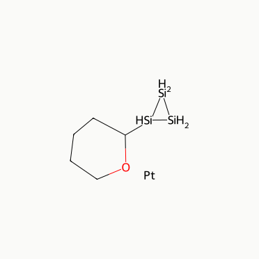 C1CCC([SiH]2[SiH2][SiH2]2)OC1.[Pt]